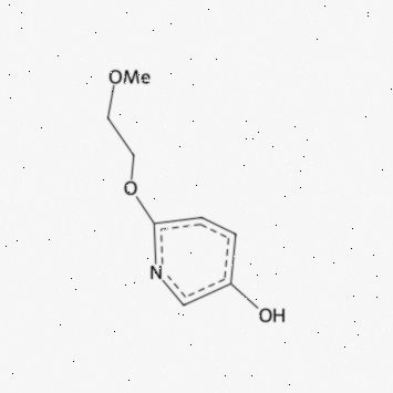 COCCOc1ccc(O)cn1